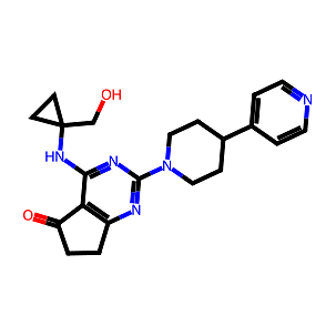 O=C1CCc2nc(N3CCC(c4ccncc4)CC3)nc(NC3(CO)CC3)c21